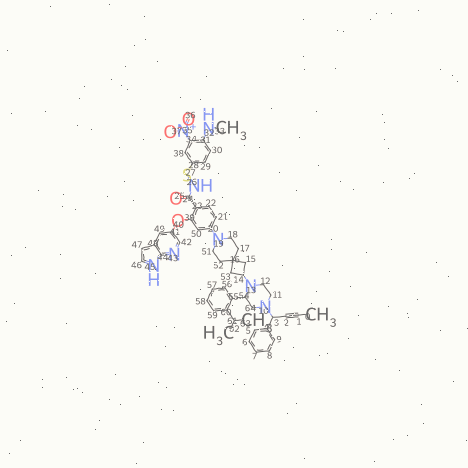 CC#CC(c1ccccc1)N1CCN(C2CC3(CCN(c4ccc(C(=O)NSc5ccc(NC)c([N+](=O)[O-])c5)c(Oc5cnc6[nH]ccc6c5)c4)CC3)C2)C(c2ccccc2C(C)C)C1